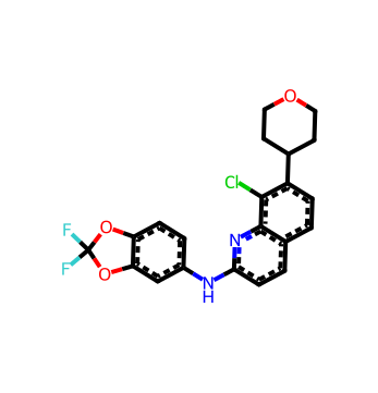 FC1(F)Oc2ccc(Nc3ccc4ccc(C5CCOCC5)c(Cl)c4n3)cc2O1